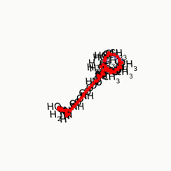 CCO[C@@H]1C[C@@H]([C@H](N)C[C@@H]2CC[C@H](n3cc(COC(=O)NCCOCCOCCOCCC(=O)NCCOCCOCCC(=O)NCCCCn4nc(-c5cc6cc(O)ccc6[nH]5)c5c(N)ncnc54)nn3)[C@H](OC)C2)OC(=O)[C@@H]2CCCCN2C(=O)C(=O)[C@]2(O)O[C@@H](CC[C@H]2C)C[C@H](OC)/C(C)=C/C=C/C=C/[C@@H](C)C[C@@H](C)C(=O)[C@H](O)[C@H](O)/C(C)=C/[C@H]1C